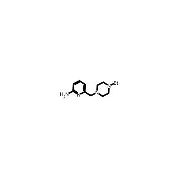 CCN1CCN(Cc2cccc(N)n2)CC1